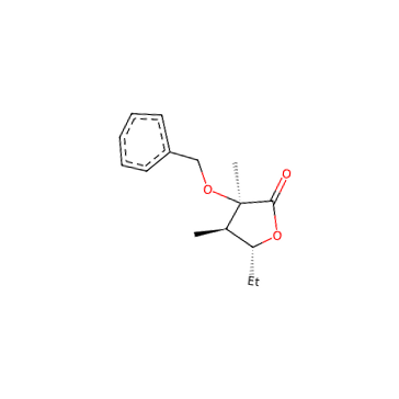 CC[C@H]1OC(=O)[C@](C)(OCc2ccccc2)[C@@H]1C